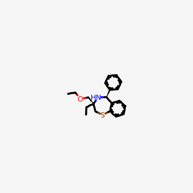 CCOC[C@]1(CC)CSc2ccccc2[C@H](c2ccccc2)N1